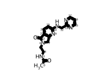 CC(=O)NCCN1Cc2nc(NCc3ncccn3)ccc2C1=O